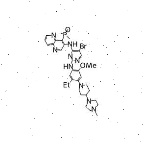 CCc1cc(Nc2ncc(Br)c(Nc3cnc4cccnc4c3P(C)(C)=O)n2)c(OC)cc1N1CCC(N2CCN(C)CC2)CC1